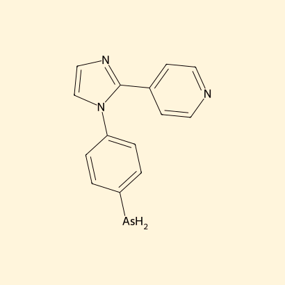 [AsH2]c1ccc(-n2ccnc2-c2ccncc2)cc1